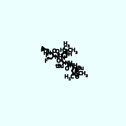 CN(C[C@@H](NC(=O)N[C@H](C(=O)N1C[C@H]2[C@@H]([C@H]1C(=O)N[C@@H](CC(F)F)C(=O)NCC1CC1)C2(C)C)C(C)(C)C)C(C)(C)C)S(C)(=O)=O